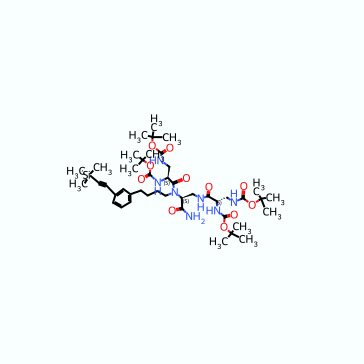 CC(C)(C)OC(=O)NC[C@H](NC(=O)OC(C)(C)C)C(=O)NC[C@@H](C(N)=O)N(CCCCc1cccc(C#C[Si](C)(C)C)c1)C(=O)[C@H](CNC(=O)OC(C)(C)C)NC(=O)OC(C)(C)C